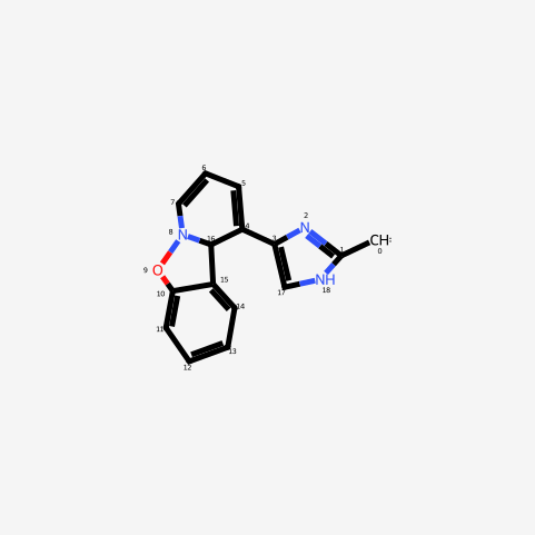 [CH]c1nc(C2=CC=CN3Oc4ccccc4C23)c[nH]1